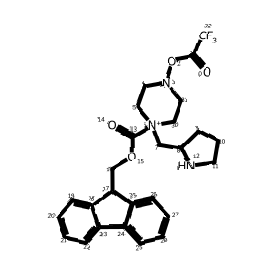 O=C(ON1CC[N+](CC2CCCN2)(C(=O)OCC2c3ccccc3-c3ccccc32)CC1)C(F)(F)F